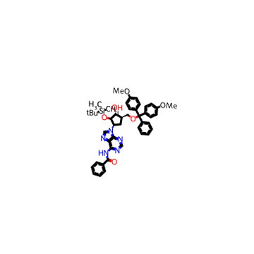 COc1ccc(C(OC[C@H]2C[C@@H](n3cnc4c(NC(=O)c5ccccc5)ncnc43)C(O[Si](C)(C)C(C)(C)C)[C@@H]2O)(c2ccccc2)c2ccc(OC)cc2)cc1